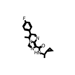 Cc1c(-c2ccc(F)cc2)cnc2c(C(=O)NC(C)C3CC3)ncn12